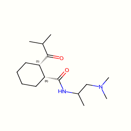 CC(CN(C)C)NC(=O)[C@@H]1CCCC[C@@H]1C(=O)C(C)C